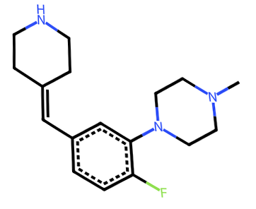 CN1CCN(c2cc(C=C3CCNCC3)ccc2F)CC1